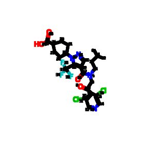 CC(C)CCN(CC(=O)c1c(Cl)cncc1Cl)C(=O)c1cnn(C2CCC(C(=O)O)CC2)c1C(F)(F)F